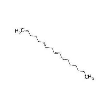 C=CCCC/C=C/C/C=C/CCCCCCC